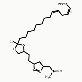 CCCCC/C=C\C/C=C\CCCCCCCCC1(CC)OCC(CCN2CC(CN(C)C)N=N2)O1